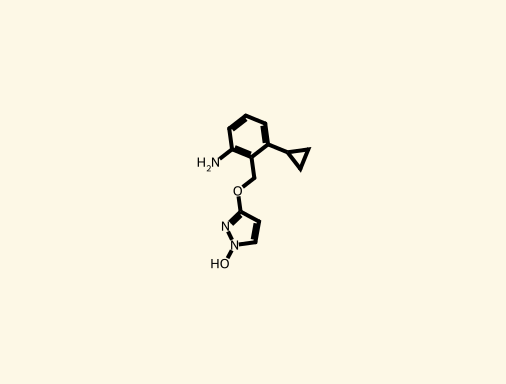 Nc1cccc(C2CC2)c1COc1ccn(O)n1